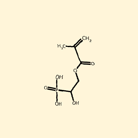 C=C(C)C(=O)OCC(O)P(=O)(O)O